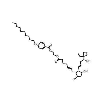 CCCCCCCCCCOc1ccc(C(=O)OCCOC(=O)CCCC=CC[C@@H]2[C@@H](C=CC[C@H](O)C3(CC)CCC3)[C@H](O)C[C@H]2Cl)cc1